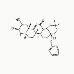 CC1(C)CC[C@]2(NSc3ccccc3)CC[C@]3(C)C(C(=O)C=C4[C@@]5(C)C=C(C#N)C(=O)C(C)(C)[C@@H]5CC[C@]43C)C2C1